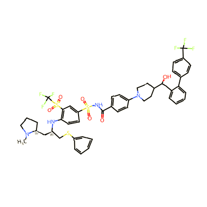 CN1CCC[C@H]1C[C@H](CSc1ccccc1)Nc1ccc(S(=O)(=O)NC(=O)c2ccc(N3CCC(C(O)c4ccccc4-c4ccc(C(F)(F)F)cc4)CC3)cc2)cc1S(=O)(=O)C(F)(F)F